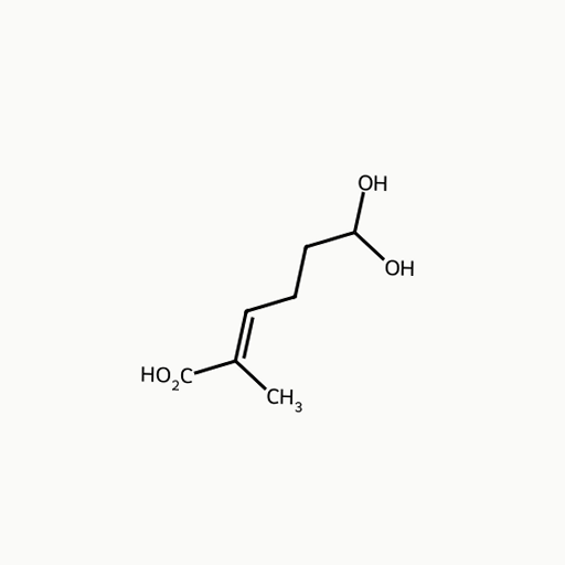 CC(=CCCC(O)O)C(=O)O